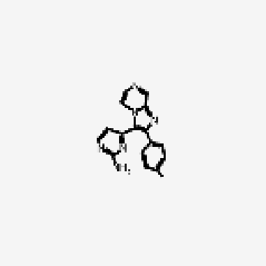 Nc1nccc(-c2c(-c3ccc(F)cc3)nc3cnccn23)n1